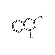 Pc1cc2ccccc2c(P)n1